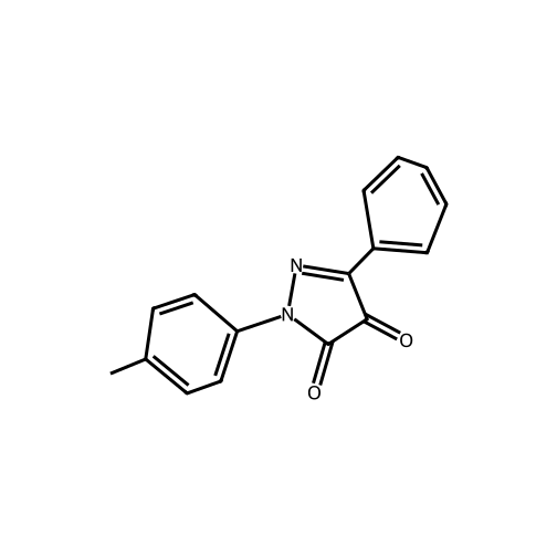 Cc1ccc(N2N=C(c3ccccc3)C(=O)C2=O)cc1